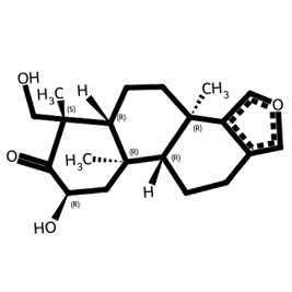 C[C@]12C[C@@H](O)C(=O)[C@](C)(CO)[C@@H]1CC[C@@]1(C)c3cocc3CC[C@H]21